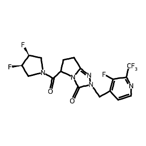 O=C(C1CCc2nn(Cc3ccnc(C(F)(F)F)c3F)c(=O)n21)N1C[C@@H](F)[C@@H](F)C1